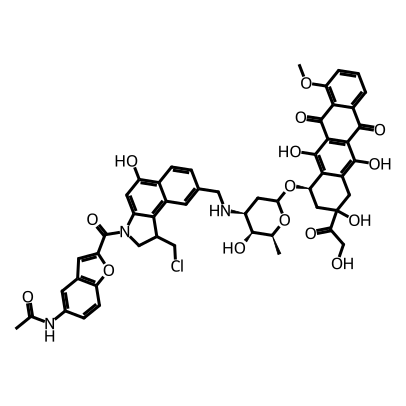 COc1cccc2c1C(=O)c1c(O)c3c(c(O)c1C2=O)CC(O)(C(=O)CO)C[C@H]3OC1C[C@H](NCc2ccc3c(O)cc4c(c3c2)C(CCl)CN4C(=O)c2cc3cc(NC(C)=O)ccc3o2)[C@H](O)[C@H](C)O1